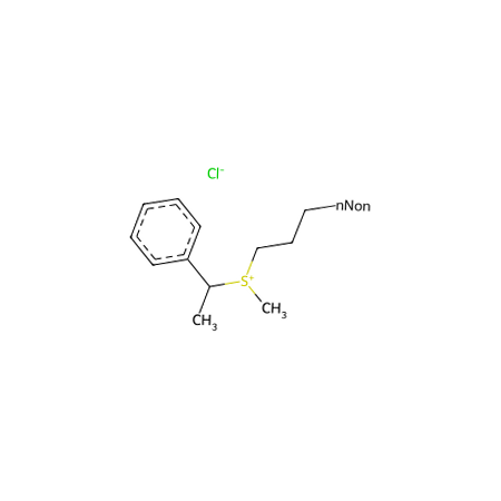 CCCCCCCCCCCC[S+](C)C(C)c1ccccc1.[Cl-]